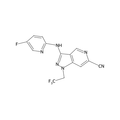 N#Cc1cc2c(cn1)c(Nc1ccc(F)cn1)nn2CC(F)(F)F